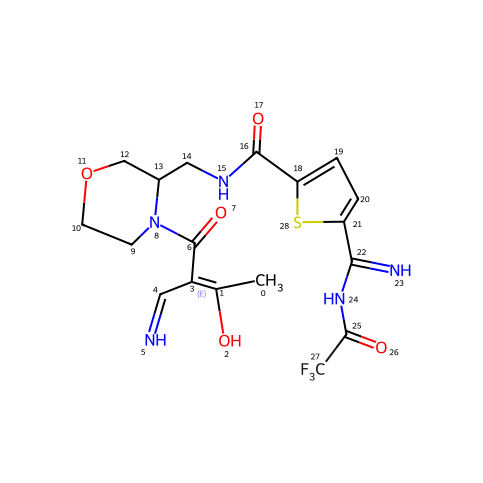 C/C(O)=C(/C=N)C(=O)N1CCOCC1CNC(=O)c1ccc(C(=N)NC(=O)C(F)(F)F)s1